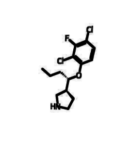 CCC[C@H](Oc1ccc(Cl)c(F)c1Cl)[C@H]1CCNC1